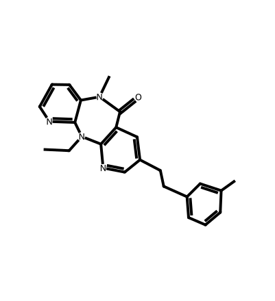 CCN1c2ncc(CCc3cccc(C)c3)cc2C(=O)N(C)c2cccnc21